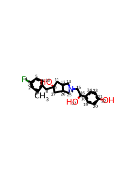 Cc1cc(F)ccc1CC1(O)CC2CN(CC(O)c3ccc(O)cc3)CC2C1